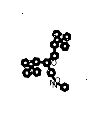 c1ccc(-c2nnc(-c3ccc(-c4cc(-c5ccc6c(c5)C(c5ccccc5)(c5ccccc5)c5ccccc5-6)cc5c4oc4ccc(-c6ccc7c(c6)C(c6ccccc6)(c6ccccc6)c6ccccc6-7)cc45)cc3)o2)cc1